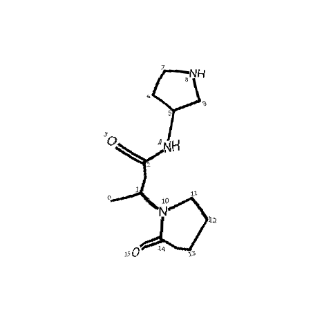 CC(C(=O)NC1CCNC1)N1CCCC1=O